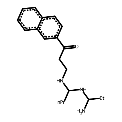 CCCC(NCCC(=O)c1ccc2ccccc2c1)NC(N)CC